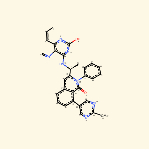 C=Nc1c(/C=C\C)nc(O)nc1N[C@@H](C)c1cc2cccc(-c3cnc(OC)nc3)c2c(=O)n1-c1ccccc1